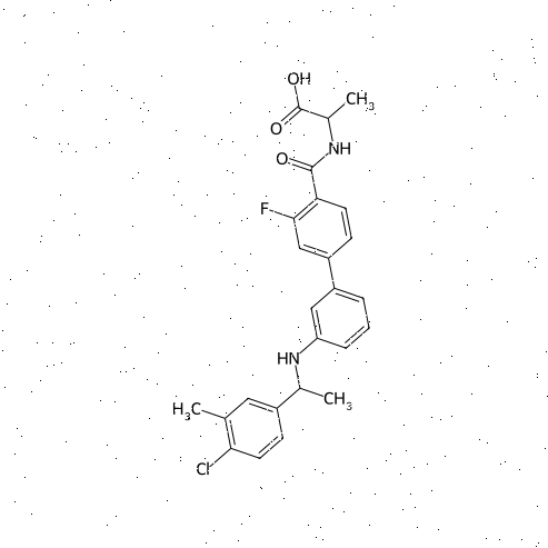 Cc1cc(C(C)Nc2cccc(-c3ccc(C(=O)NC(C)C(=O)O)c(F)c3)c2)ccc1Cl